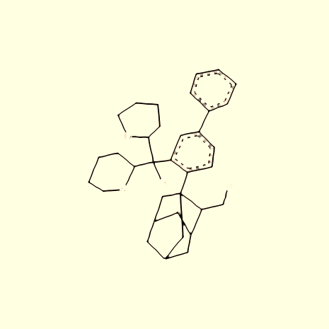 PCC1C2CC3CC(C2)CC1(c1ccc(-c2ccccc2)cc1C(P)(C1CCCCN1)C1CCCCN1)C3